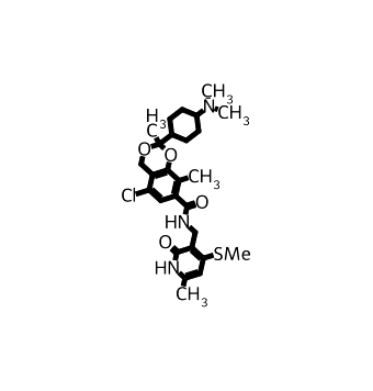 CSc1cc(C)[nH]c(=O)c1CNC(=O)c1cc(Cl)c2c(c1C)OC(C)(C1CCC(N(C)C)CC1)OC2